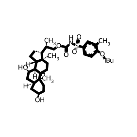 CCC(C)Oc1ccc(S(=O)(=O)NC(=O)OC[C@@H](C)[C@H]2CC[C@H]3[C@@H]4[C@H](O)C[C@@H]5C[C@H](O)CC[C@]5(C)[C@H]4CC[C@]23C)cc1C